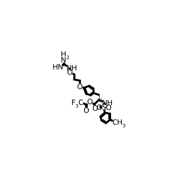 Cc1cccc(S(=O)(=O)N[C@@H](Cc2ccc(OCCCONC(=N)N)cc2)C(=O)OC(=O)C(F)(F)F)c1